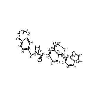 CSc1ccc(CNC(=O)c2ccc3c(c2)OCCN3c2cccc3c2OCC3)cc1